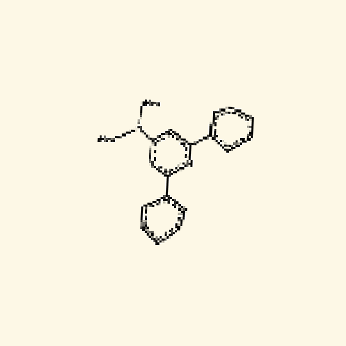 CCCCCCN(CCCCCC)c1cc(-c2ccccc2)nc(-c2ccccc2)n1